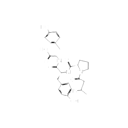 CC(S)CC(=O)N1CCC[C@@H]1C(=O)N[C@@H](Cc1ccc(O)cc1)C(=O)N[C@@H](Cc1ccc(O)cc1)C(=O)O